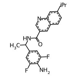 CC(C)c1ccc2cc(C(=O)NC(C)c3cc(F)c(N)c(F)c3)cnc2c1